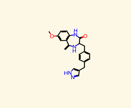 C=C1NC(Cc2ccc(Cc3cn[nH]c3)cc2)C(=O)Nc2ccc(OC)cc21